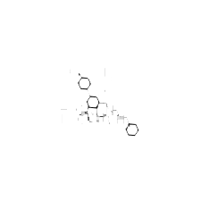 Cc1cc(-c2cc(C(C)(C)C)cc(CN(CCCc3ccccc3)C(C)(C)C)c2O)ccc1Cl